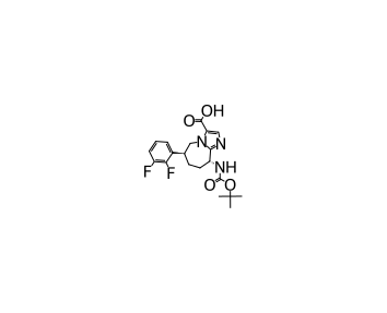 CC(C)(C)OC(=O)N[C@@H]1CC[C@@H](c2cccc(F)c2F)Cn2c(C(=O)O)cnc21